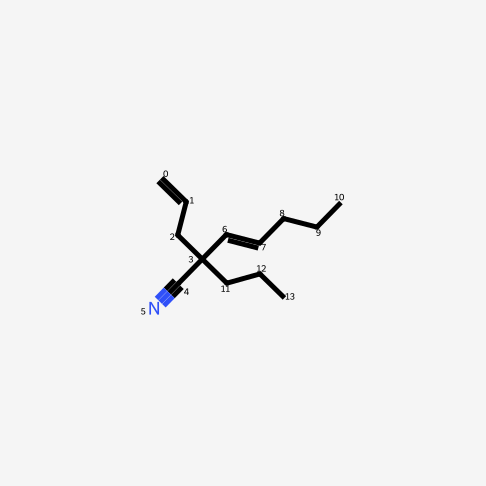 C=CCC(C#N)(C=CCCC)CCC